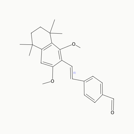 COc1cc2c(c(OC)c1/C=C/c1ccc(C=O)cc1)C(C)(C)CCC2(C)C